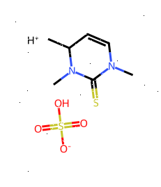 CC1C=CN(C)C(=S)N1C.O=S(=O)([O-])O.[H+]